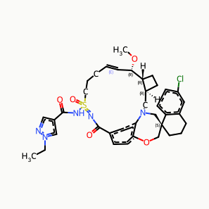 CCn1cc(C(=O)NS2(=O)=NC(=O)c3ccc4c(c3)N(C[C@@H]3CC[C@H]3[C@@H](OC)/C=C/CCC2)C[C@@]2(CCCc3cc(Cl)ccc32)CO4)cn1